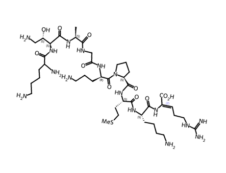 CSCC[C@H](NC(=O)[C@@H]1CCCN1C(=O)[C@@H](CCCN)NC(=O)CNC(=O)[C@H](C)NC(=O)[C@@H](NC(=O)C(N)CCCCN)[C@@H](O)CN)C(=O)N[C@@H](CCCCN)C(=O)N/C(=C\CCNC(=N)N)C(=O)O